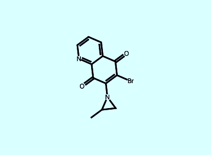 CC1CN1C1=C(Br)C(=O)c2cccnc2C1=O